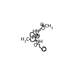 C=C1CC[C@H](NC(=O)CCc2ccccc2)C(=O)N2[C@H](C(=O)NCCOC(C)=O)CCCN12